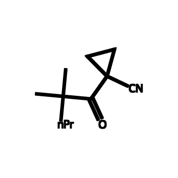 CCCC(C)(C)C(=O)C1(C#N)CC1